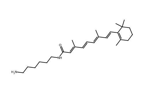 CC1=C(/C=C/C(C)=C/C=C/C(C)=C/C(=O)NCCCCCCN)C(C)(C)CCC1